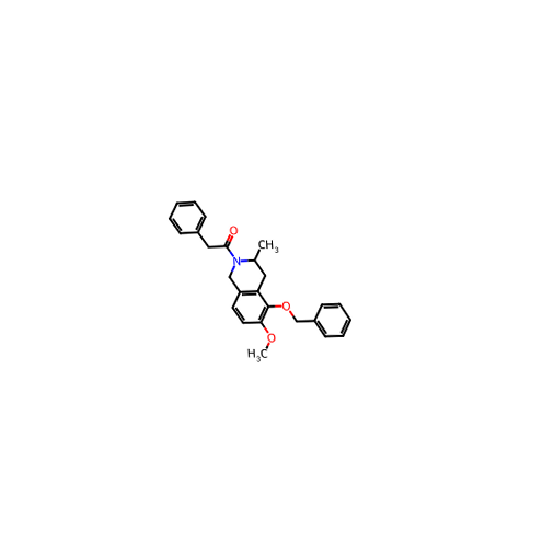 COc1ccc2c(c1OCc1ccccc1)CC(C)N(C(=O)Cc1ccccc1)C2